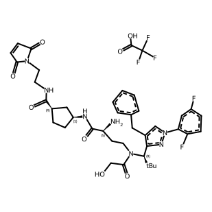 CC(C)(C)[C@H](c1nn(-c2cc(F)ccc2F)cc1Cc1ccccc1)N(CC[C@H](N)C(=O)N[C@H]1CC[C@@H](C(=O)NCCN2C(=O)C=CC2=O)C1)C(=O)CO.O=C(O)C(F)(F)F